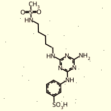 CS(=O)(=O)NCCCCCNc1nc(N)nc(Nc2cccc(S(=O)(=O)O)c2)n1